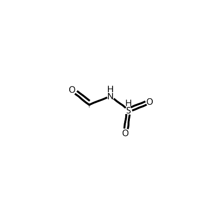 O=[C]N[SH](=O)=O